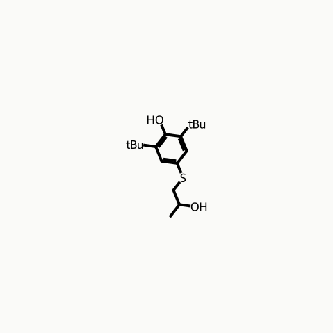 CC(O)CSc1cc(C(C)(C)C)c(O)c(C(C)(C)C)c1